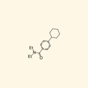 CCN(CC)C(=O)c1ccc(C2CCCCC2)cc1